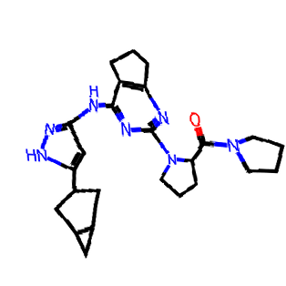 O=C(C1CCCN1c1nc2c(c(Nc3cc(C4CC5CC5C4)[nH]n3)n1)CCC2)N1CCCC1